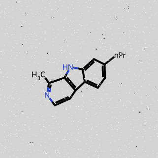 CCCc1ccc2c(c1)[nH]c1c(C)nccc12